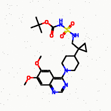 COc1cc2ncnc(N3CCC(C4(CNS(=O)(=O)NC(=O)OC(C)(C)C)CC4)CC3)c2cc1OC